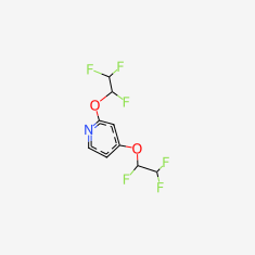 FC(F)C(F)Oc1ccnc(OC(F)C(F)F)c1